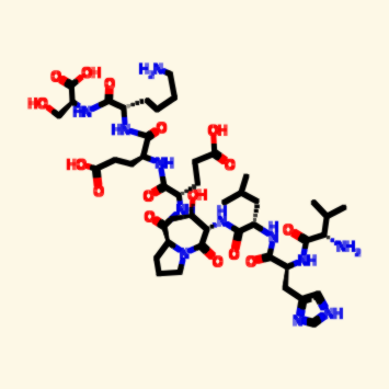 CC(C)C[C@H](NC(=O)[C@H](Cc1c[nH]cn1)NC(=O)[C@@H](N)C(C)C)C(=O)N[C@H](C(=O)N1CCC[C@H]1C(=O)N[C@@H](CCC(=O)O)C(=O)N[C@@H](CCC(=O)O)C(=O)N[C@@H](CCCCN)C(=O)N[C@@H](CO)C(=O)O)[C@@H](C)O